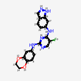 Fc1cnc(Nc2ccc3c(c2)OCCO3)nc1Nc1ccc2cn[nH]c2c1